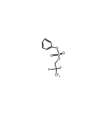 O=S(=O)(OCC(F)(F)C(F)(F)F)Oc1ccccc1